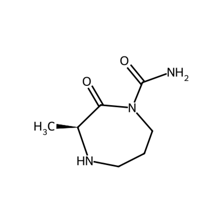 C[C@@H]1NCCCN(C(N)=O)C1=O